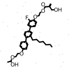 C=C(CO)C(=O)OCCOc1ccc(-c2ccc(-c3ccc(OCCOC(C)O)cc3)c(CCCCCCC)c2)cc1F